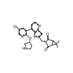 CC1(C)C2C(=O)N(Cc3cc4nccc(-c5cc(Cl)cnc5OC5CCNC5)c4s3)C(=O)C21